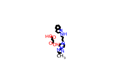 Cc1cnc(N2CCN(CCCCNC3=Nc4ccccc4CC3)CC2)nc1.O=C(O)C=CC(=O)O